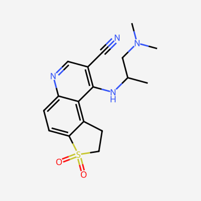 CC(CN(C)C)Nc1c(C#N)cnc2ccc3c(c12)CCS3(=O)=O